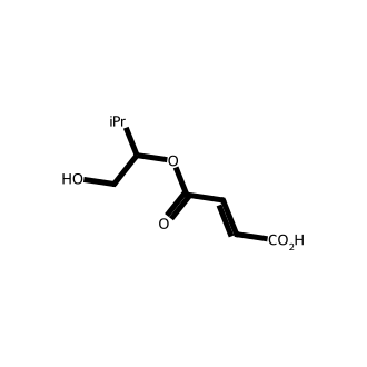 CC(C)C(CO)OC(=O)/C=C/C(=O)O